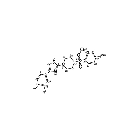 Cc1ccc(-c2csc(N3CCC(S(=O)(=O)c4ccc(F)cc4Cl)CC3)n2)cc1C